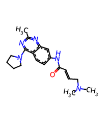 Cc1nc(N2CCCC2)c2ccc(NC(=O)/C=C/CN(C)C)cc2n1